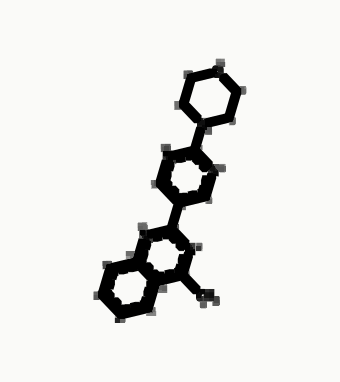 Cc1nc(-c2cnc(N3CCOCC3)nc2)nc2ccccc12